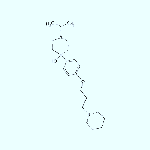 CC(C)N1CCC(O)(c2ccc(OCCCN3CCCCC3)cc2)CC1